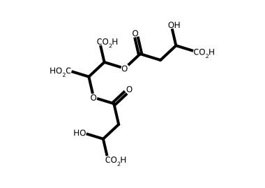 O=C(CC(O)C(=O)O)OC(C(=O)O)C(OC(=O)CC(O)C(=O)O)C(=O)O